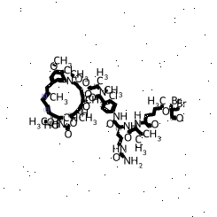 COc1cc2cc(c1Cl)N(C)C(=O)C[C@H](OC(=O)[C@H](C)N(C)C(=O)c1ccc(NC(=O)[C@H](CCCNC(N)=O)NC(=O)[C@@H](NC(C=O)CCCC(C)OC(C=O)(CBr)CBr)C(C)C)cc1Cl)[C@]1(C)O[C@H]1[C@H](C)[C@@H]1C[C@@](O)(NC(=O)O1)[C@H](OC)/C=C/C=C(\C)C2